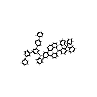 c1ccc(-c2ccc(-c3cc(-c4cccc(-c5ccccc5)c4)cc(-n4c5ccccc5c5cc(-c6cccc(N(c7ccc8c(c7)C(c7ccccc7)(c7ccccc7)c7ccccc7-8)c7cccc8ccccc78)c6)ccc54)c3)cc2)cc1